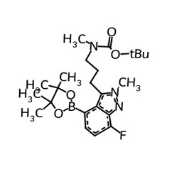 CN(CCCc1c2c(B3OC(C)(C)C(C)(C)O3)ccc(F)c2nn1C)C(=O)OC(C)(C)C